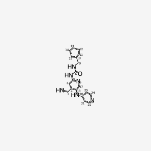 N=Cc1cc(NC(=O)NCc2ccccc2)ncc1Nc1ccncc1